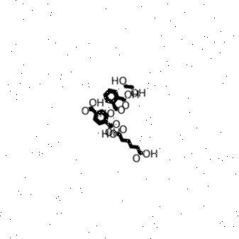 O=C(O)CCCCC(=O)O.O=C(O)c1ccc(C(=O)O)cc1.O=C(O)c1ccccc1C(=O)O.OCCO